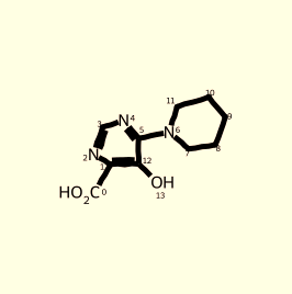 O=C(O)c1n[c]nc(N2CCCCC2)c1O